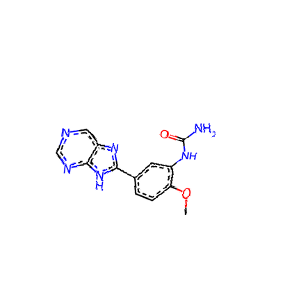 COc1ccc(-c2nc3cncnc3[nH]2)cc1NC(N)=O